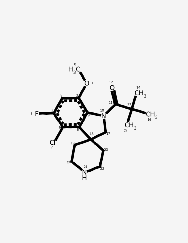 COc1cc(F)c(Cl)c2c1N(C(=O)C(C)(C)C)CC21CCNCC1